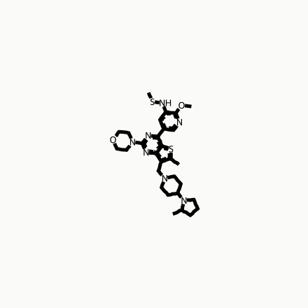 COc1ncc(-c2nc(N3CCOCC3)nc3c(CN4CCC(N5CCCC5C)CC4)c(C)sc23)cc1NSC